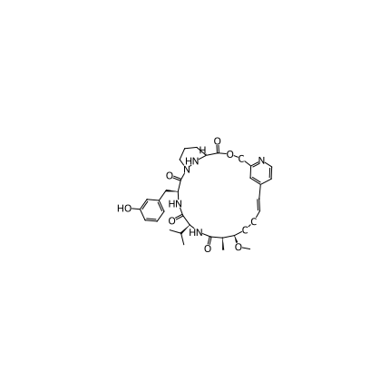 CO[C@@H]1CC/C=C/c2ccnc(c2)COC(=O)[C@@H]2CCCN(N2)C(=O)[C@H](Cc2cccc(O)c2)NC(=O)[C@H](C(C)C)NC(=O)[C@@H]1C